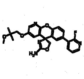 COC(C)(C)COc1cnc2c(c1)[C@]1(COC(N)=N1)c1cc(-c3cccnc3F)ccc1O2